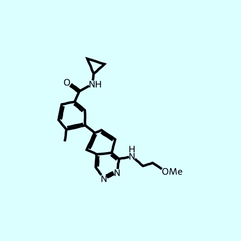 COCCNc1nncc2cc(-c3cc(C(=O)NC4CC4)ccc3C)ccc12